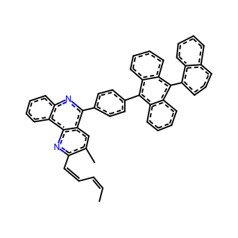 C/C=C\C=C/c1nc2c(cc1C)c(-c1ccc(-c3c4ccccc4c(-c4cccc5ccccc45)c4ccccc34)cc1)nc1ccccc12